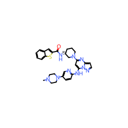 CN1CCN(c2ccc(Nc3cc(N4CCC[C@@H](NC(=O)c5cc6ccccc6s5)C4)nc4ccnn34)nc2)CC1